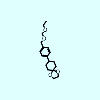 CCOCOCc1ccc(C2CCC3(CC2)OCCO3)cc1